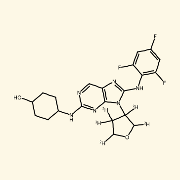 [2H]C1OC([2H])C([2H])(n2c(Nc3c(F)cc(F)cc3F)nc3cnc(NC4CCC(O)CC4)nc32)C1([2H])[2H]